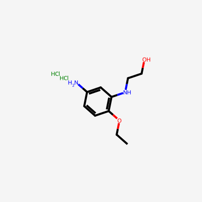 CCOc1ccc(N)cc1NCCO.Cl.Cl